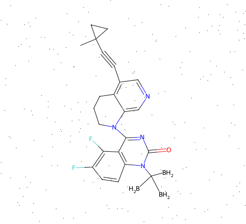 BC(B)(B)n1c(=O)nc(N2CCCc3c(C#CC4(C)CC4)cncc32)c2c(F)c(F)ccc21